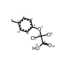 Cc1ccc(OC(Cl)(Cl)C(=O)O)cc1